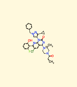 C=CC(=O)N1CCN(c2nc(=O)n(-c3cn(Cc4ccccc4)nc3C3CC3)c3nc(-c4c(O)cccc4F)c(Cl)cc23)[C@@H](C)C1